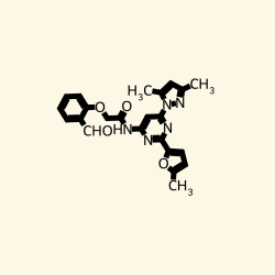 Cc1cc(C)n(-c2cc(NC(=O)COc3ccccc3C=O)nc(-c3ccc(C)o3)n2)n1